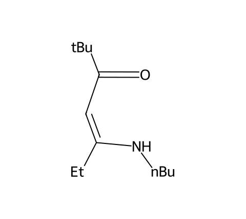 CCCCN/C(=C\C(=O)C(C)(C)C)CC